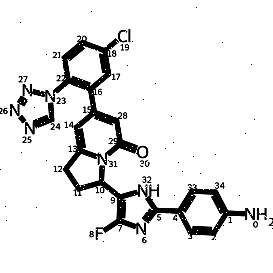 Nc1ccc(-c2nc(F)c(C3CCc4cc(-c5cc(Cl)ccc5-n5cnnn5)cc(=O)n43)[nH]2)cc1